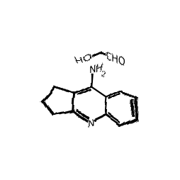 Nc1c2c(nc3ccccc13)CCC2.O=CO